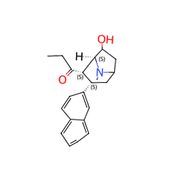 CCC(=O)[C@H]1[C@@H](c2ccc3ccccc3c2)CC2CC(O)[C@H]1N2C